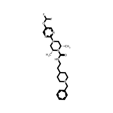 C[C@@H]1CN(c2ncc(OC(F)F)cn2)C[C@H](C)N1C(=O)NCCC1CCN(Cc2ccccc2)CC1